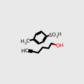 C#CCCCCO.Cc1ccc(S(=O)(=O)O)cc1